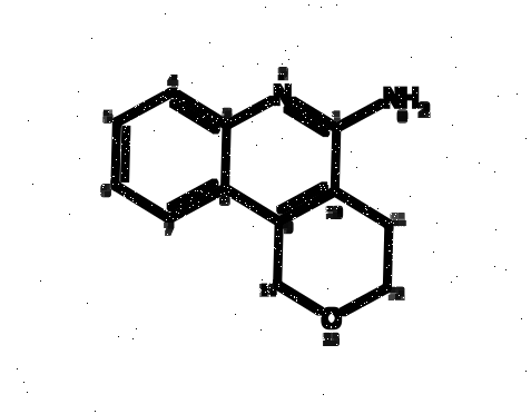 Nc1nc2ccccc2c2c1CCOC2